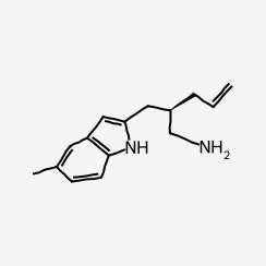 C=CC[C@@H](CN)Cc1cc2cc(C)ccc2[nH]1